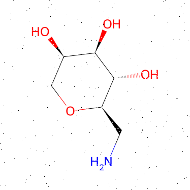 NC[C@H]1O[CH][C@@H](O)[C@@H](O)[C@@H]1O